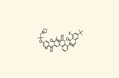 Cn1nc(-c2cccc(-n3ncc4cc(C(C)(C)C)cc(F)c4c3=O)c2CO)cc(Nc2ccc(OC(C)(C)CN3CCC3)cn2)c1=O